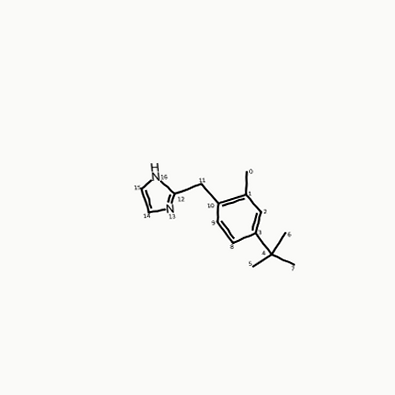 Cc1cc(C(C)(C)C)ccc1Cc1ncc[nH]1